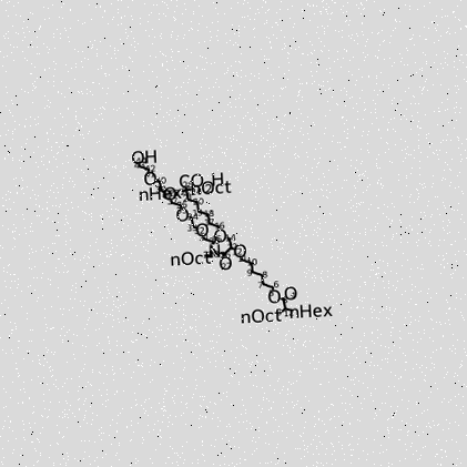 CCCCCCCCC(CCCCCC)C(=O)OCCCCCCOC(COCCCCCCC(CCCCCC)(CCCCCCCC)C(=O)O)C(=O)N(CCCCCCCC)CCOCCOCCOCCOCCO